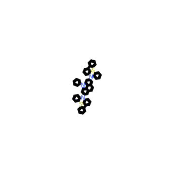 c1ccc(N(c2cc3ccc4cc(N(c5ccccc5)c5cccc6c5sc5ccccc56)cc5c4c3c(c2)n5-c2ccccc2)c2cccc3c2sc2ccccc23)cc1